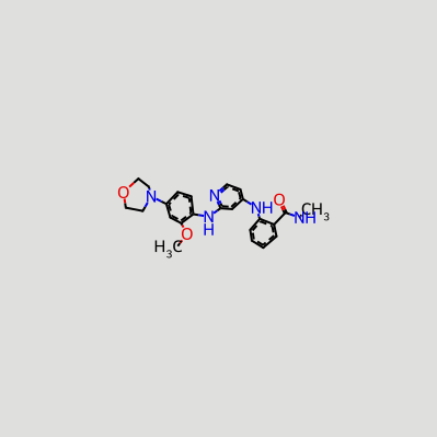 CNC(=O)c1ccccc1Nc1ccnc(Nc2ccc(N3CCOCC3)cc2OC)c1